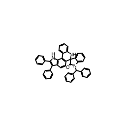 O=C1N(C(c2ccccc2)c2ccccc2)c2ccccc2C12Nc1ccccc1-c1c2ccc2c(-c3ccccc3)c(-c3ccccc3)[nH]c12